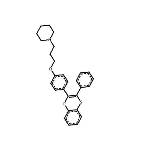 c1ccc(C2=C(c3ccc(OCCCN4CCCCC4)cc3)Oc3ccccc3S2)cc1